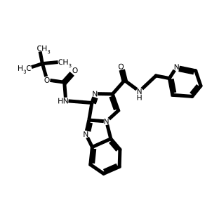 CC(C)(C)OC(=O)Nc1nc(C(=O)NCc2ccccn2)cn2c1nc1ccccc12